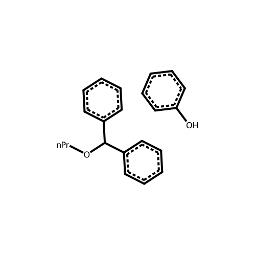 CCCOC(c1ccccc1)c1ccccc1.Oc1ccccc1